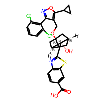 O=C(O)c1ccc2nc([C@]3(O)[C@@H]4CC5[C@H]3C[C@]5(OCc3c(-c5c(Cl)cccc5Cl)noc3C3CC3)C4)sc2c1